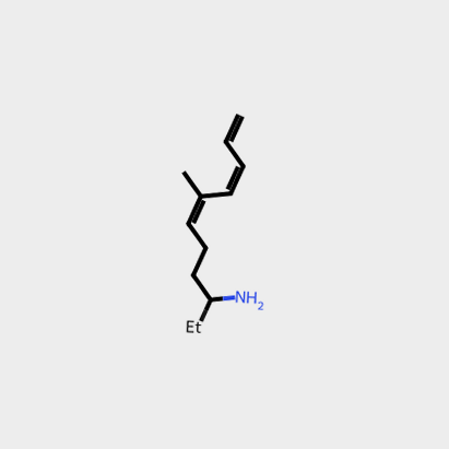 C=C/C=C\C(C)=C/CCC(N)CC